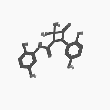 Cc1ccc(O)c(NC(=O)C2N(c3cc(C)ccc3O)C(=O)C2(C)C)c1